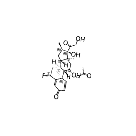 CC(C)=O.C[C@@H]1C[C@H]2[C@@H]3C[C@H](F)C4=CC(=O)C=C[C@]4(C)[C@H]3[C@@H](O)C[C@]2(C)[C@@]1(O)C(=O)CO